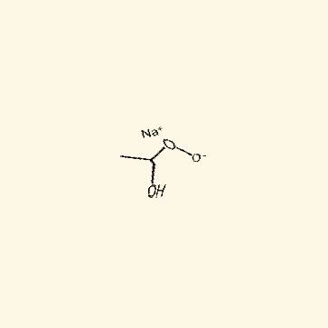 CC(O)O[O-].[Na+]